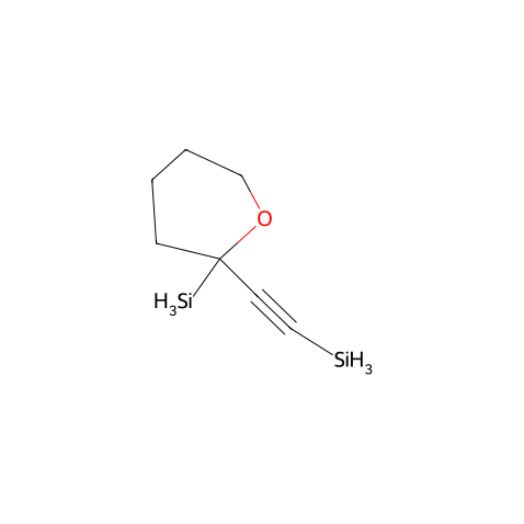 [SiH3]C#CC1([SiH3])CCCCO1